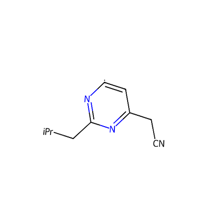 CC(C)Cc1n[c]cc(CC#N)n1